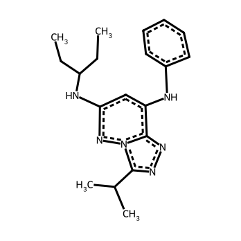 CCC(CC)Nc1cc(Nc2ccccc2)c2nnc(C(C)C)n2n1